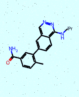 Cc1ccc(C(N)=O)cc1-c1ccc2c(NC(C)C)nncc2c1